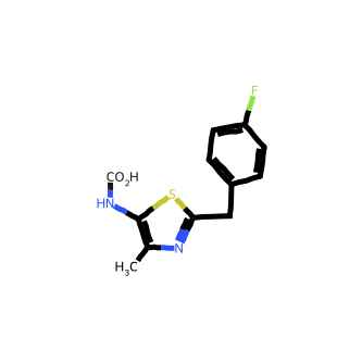 Cc1nc(Cc2ccc(F)cc2)sc1NC(=O)O